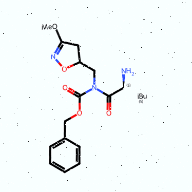 CC[C@H](C)[C@H](N)C(=O)N(CC1CC(OC)=NO1)C(=O)OCc1ccccc1